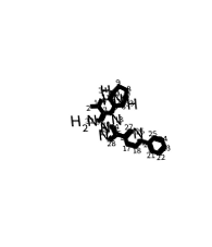 CC(C)c1c(C2C[C@H]3CC[C@@H](C2)N3)nc2c(-c3ccc(-c4ccccc4)nc3)cnn2c1N